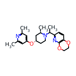 Cc1cc(O[C@H]2CCN(C(C)c3ccc4c(n3)OCCO4)[C@H](C)C2)cc(C)n1